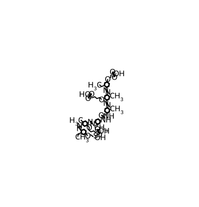 CCc1cc(OCCS(=O)(=O)O)ccc1N=Nc1cc(OCCCCS(=O)(=O)O)c(/N=N/c2ccc(NC(=O)Nc3ccc(N=Nc4cc(C)c(/N=N\c5ccc(OCCSO)cc5CC)cc4OCCCCS(=O)(=O)O)c(C)c3)cc2C)cc1C